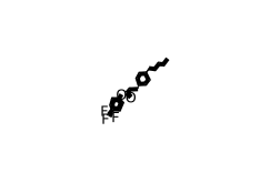 CCCCC[C@H]1CC[C@H](CCC(=O)Oc2ccc(C(F)(F)F)cc2)CC1